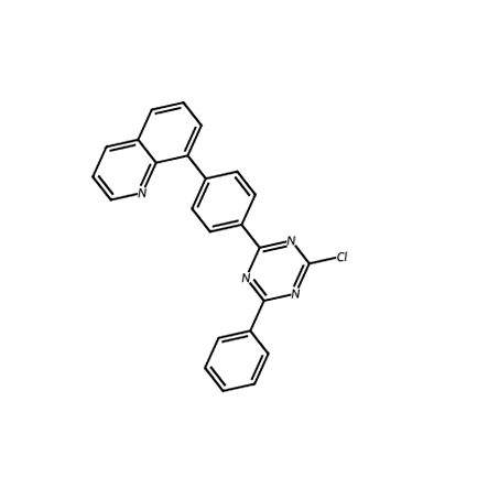 Clc1nc(-c2ccccc2)nc(-c2ccc(-c3cccc4cccnc34)cc2)n1